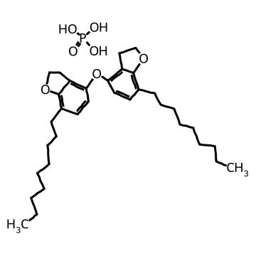 CCCCCCCCCc1ccc(Oc2ccc(CCCCCCCCC)c3c2CCO3)c2c1OCC2.O=P(O)(O)O